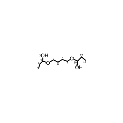 CCC(O)OCCCCOC(O)CC